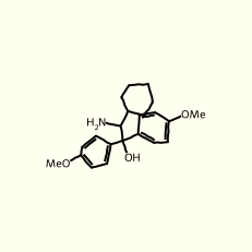 COc1ccc(C(O)(c2ccc(OC)cc2)C(N)C2CCCCC2)cc1